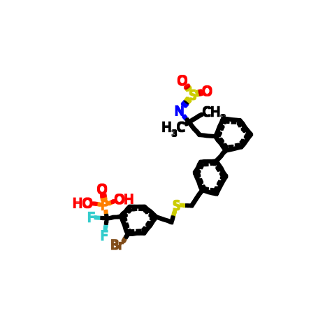 CC(C)(Cc1ccccc1-c1ccc(CSCc2ccc(C(F)(F)P(=O)(O)O)c(Br)c2)cc1)N=S(=O)=O